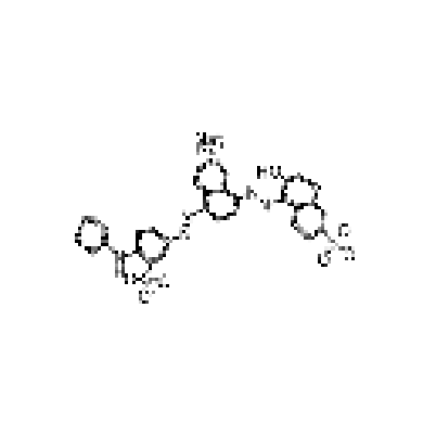 O=S(=O)([O-])c1ccc2c(N=Nc3ccc(N=Nc4ccc(Nc5ccccc5)c(S(=O)(=O)[O-])c4)c4ccccc34)c(O)ccc2c1.[Na+].[Na+]